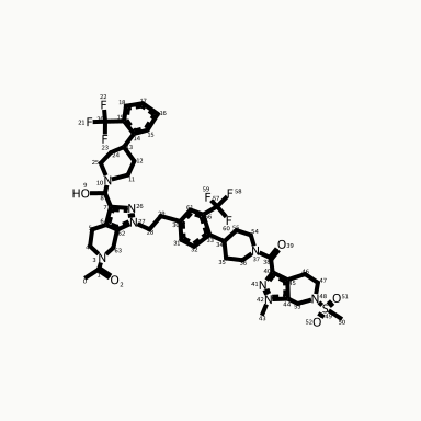 CC(=O)N1CCc2c(C(O)N3CCC(c4ccccc4C(F)(F)F)CC3)nn(CCc3ccc(C4CCN(C(=O)c5nn(C)c6c5CCN(S(C)(=O)=O)C6)CC4)c(C(F)(F)F)c3)c2C1